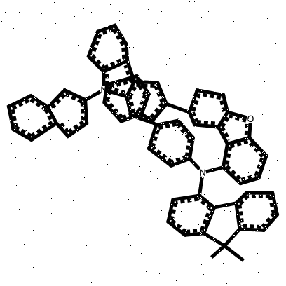 CC1(C)c2ccccc2-c2c(N(c3ccc(-c4ccccc4)cc3)c3cccc4oc5ccc(-c6ccc7c(c6)c6ccccc6n7-c6ccc7ccccc7c6)cc5c34)cccc21